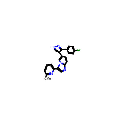 COc1cccc(-c2cnc3ccc(-c4c[nH]nc4-c4ccc(F)cc4)cn23)n1